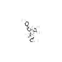 CC(C)c1ccc(-c2ccc(C(=O)NS(=O)(=O)c3ccc[nH]c3=O)c(N3C[C@@H](C)CC3(C)C)n2)cc1